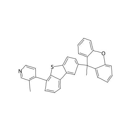 Cc1cnccc1-c1cccc2c1sc1ccc(C3(C)c4ccccc4Oc4ccccc43)cc12